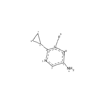 Nc1cnc(C2CC2)c(F)c1